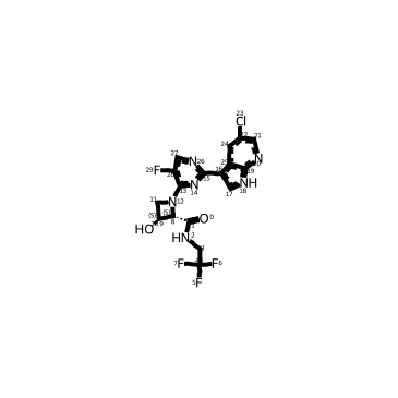 O=C(NCC(F)(F)F)[C@@H]1[C@@H](O)CN1c1nc(-c2c[nH]c3ncc(Cl)cc23)ncc1F